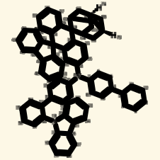 c1ccc(-c2ccc(N(c3ccc(-c4ccccc4-n4c5ccccc5c5ccccc54)cc3)c3ccc4c(c3)C3(c5ccccc5-c5ccccc53)c3ccccc3C43C4C[C@H]5CC3C[C@@H](C4)C5)cc2)cc1